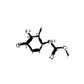 COC(=O)Nc1ccc(Cl)c(F)c1C